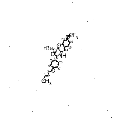 CC=CCOc1ccc(C(=O)NC(Cc2ccc(OC(F)(F)F)cc2)C(=O)OC(C)(C)C)cc1